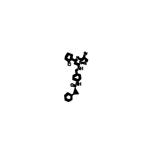 O=C(Nc1ccc(CNc2cc(-c3ccccc3Cl)nc3c(Br)cnn23)cc1)[C@@H]1C[C@H]1C1C=CC=CC1